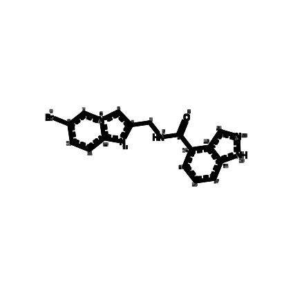 O=C(NCc1cn2cc(Br)ccc2n1)c1cccc2[nH]ncc12